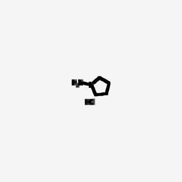 Cl.NN1CCCC1